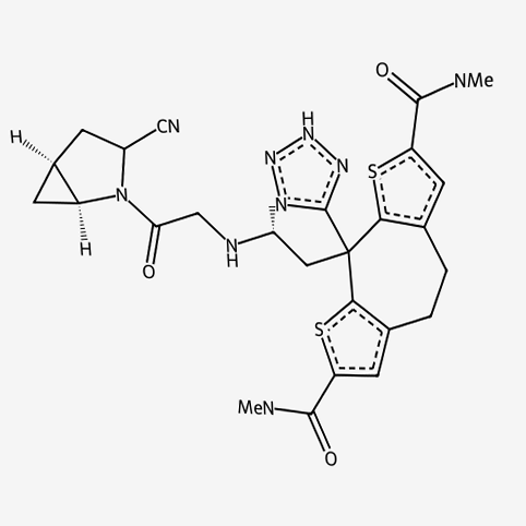 CNC(=O)c1cc2c(s1)C(C[C@@H](C)NCC(=O)N1C(C#N)C[C@@H]3C[C@@H]31)(c1nn[nH]n1)c1sc(C(=O)NC)cc1CC2